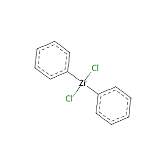 [Cl][Zr]([Cl])([c]1ccccc1)[c]1ccccc1